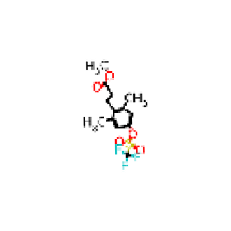 COC(=O)CCc1c(C)cc(OS(=O)(=O)C(F)(F)F)cc1C